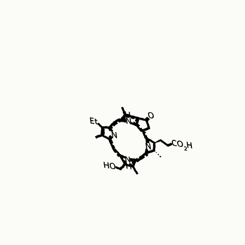 CCC1=C(C)c2cc3[nH]c(cc4nc(c5c6[nH]c(cc1n2)c(C)c6C(=O)C5)[C@@H](CCC(=O)O)[C@@H]4C)c(C)c3CO